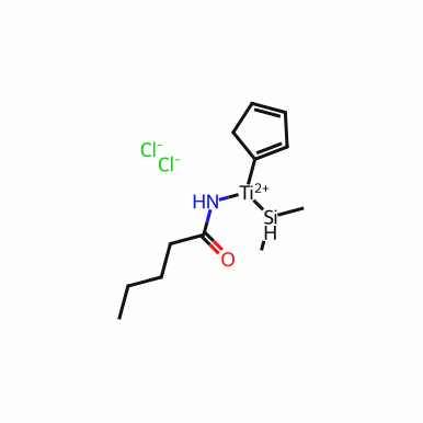 CCCCC(=O)[NH][Ti+2]([C]1=CC=CC1)[SiH](C)C.[Cl-].[Cl-]